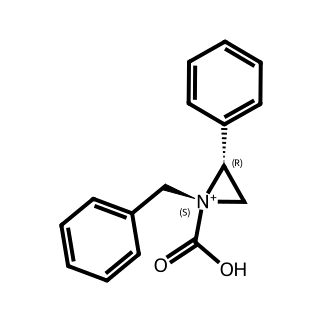 O=C(O)[N@@+]1(Cc2ccccc2)C[C@H]1c1ccccc1